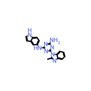 Cc1nc2ccccc2n1-c1nc(N)nc(Nc2ccc3[nH]ccc3c2)n1